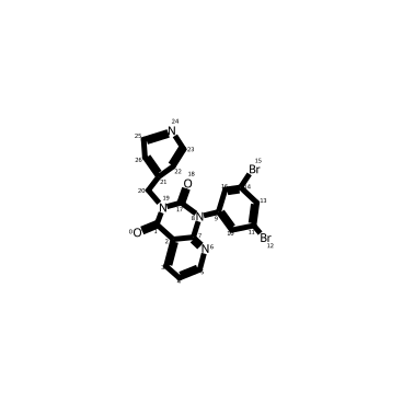 O=c1c2cccnc2n(-c2cc(Br)cc(Br)c2)c(=O)n1Cc1ccncc1